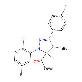 CCCCC1C(c2ccc(F)cc2)=NN(c2cc(F)ccc2F)C1(C)C(=O)OC